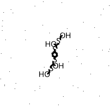 OCCSCC(O)CSc1ccc(SCC(O)CSCCO)cc1